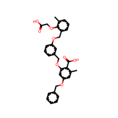 Cc1cccc(COc2cccc(COc3cc(OCc4ccccc4)cc(C)c3C(=O)O)c2)c1OCC(=O)O